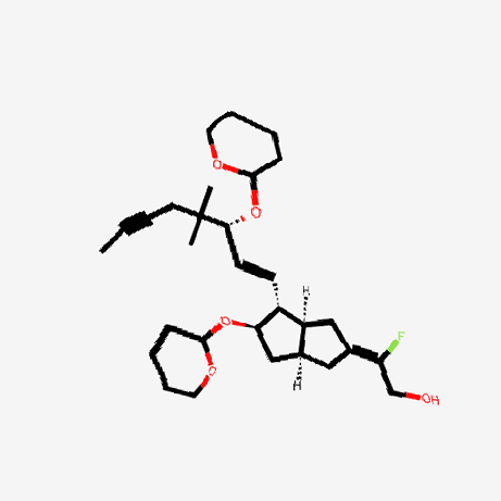 CC#CCC(C)(C)[C@@H](/C=C/[C@@H]1[C@H]2C/C(=C(\F)CO)C[C@H]2C[C@H]1OC1CCCCO1)OC1CCCCO1